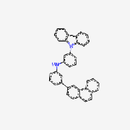 c1cc(Nc2cccc(-n3c4ccccc4c4ccccc43)c2)cc(-c2ccc3ccc4ccccc4c3c2)c1